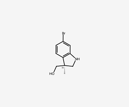 C[C@@]1(CO)CNc2cc(Br)ccc21